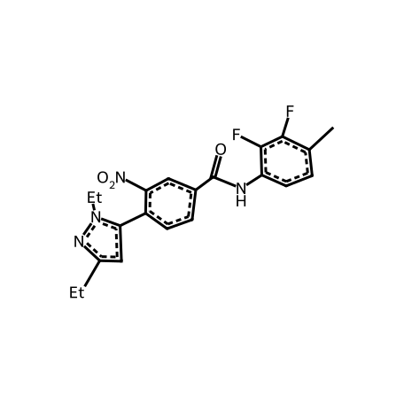 CCc1cc(-c2ccc(C(=O)Nc3ccc(C)c(F)c3F)cc2[N+](=O)[O-])n(CC)n1